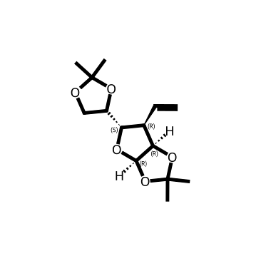 C=C[C@H]1[C@H]2OC(C)(C)O[C@H]2O[C@@H]1C1COC(C)(C)O1